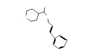 CC(OCC=Cc1ccccc1)C1CCNCC1